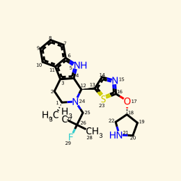 C[C@@H]1Cc2c([nH]c3ccccc23)[C@@H](c2cnc(O[C@@H]3CCNC3)s2)N1CC(C)(C)F